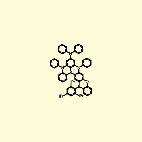 CC(C)c1cc(C(C)C)c(B2c3ccccc3Oc3cc4c(cc32)B2c3ccccc3N(c3ccccc3)c3cc(N(c5ccccc5)c5ccccc5)cc(c32)N4c2ccccc2)c(C(C)C)c1